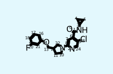 O=C(NC1CC1)c1cc(N2CCC(COc3cccc(F)c3)C2)ncc1Cl